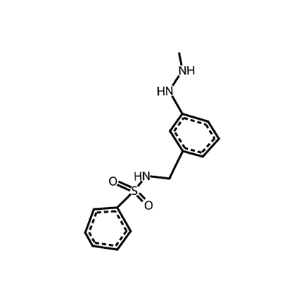 CNNc1cccc(CNS(=O)(=O)c2ccccc2)c1